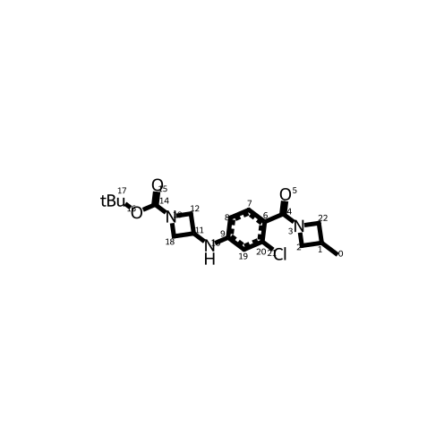 CC1CN(C(=O)c2ccc(NC3CN(C(=O)OC(C)(C)C)C3)cc2Cl)C1